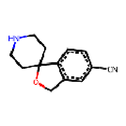 N#Cc1ccc2c(c1)COC21CCNCC1